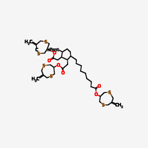 C=C1CSCC(OC(=O)CCCCCCCCC2CCC(CCCCC)C(CC(=O)OC3CSCC(=C)CSC3)C2CC(=O)OC2CSCC(=C)CSC2)CSC1